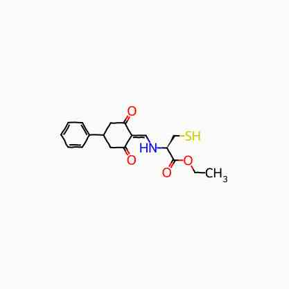 CCOC(=O)[C@H](CS)NC=C1C(=O)CC(c2ccccc2)CC1=O